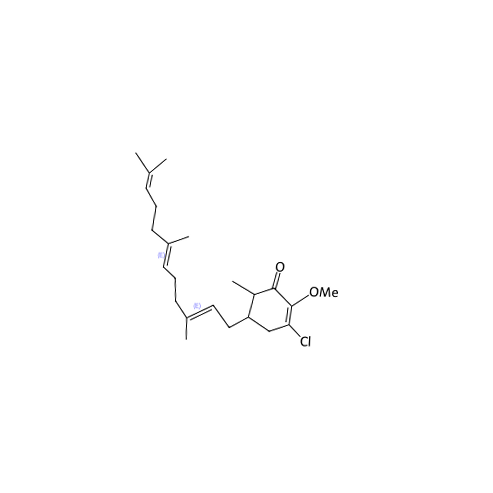 COC1=C(Cl)CC(C/C=C(\C)CC/C=C(\C)CCC=C(C)C)C(C)C1=O